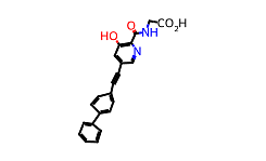 O=C(O)CNC(=O)c1ncc(C#Cc2ccc(-c3ccccc3)cc2)cc1O